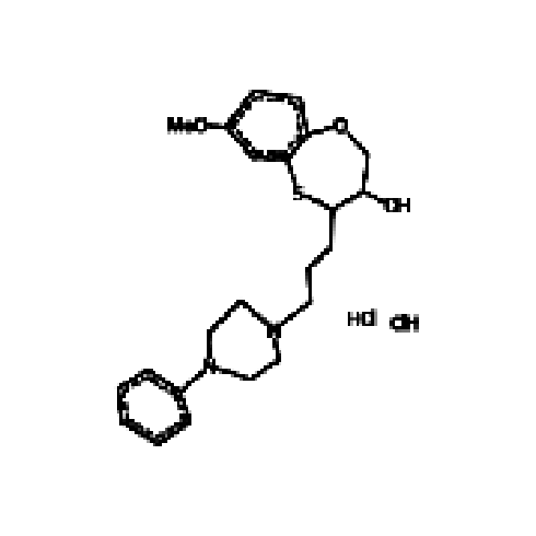 COc1ccc2c(c1)SC(CCCN1CCN(c3ccccc3)CC1)C(O)CO2.Cl.Cl